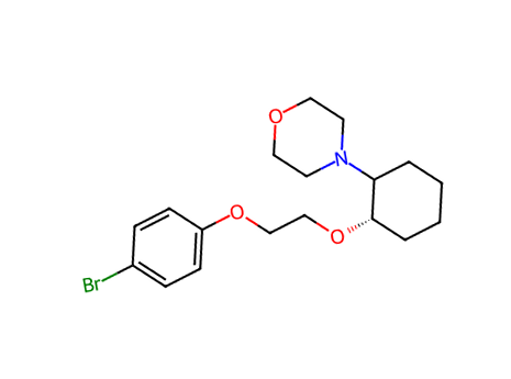 Brc1ccc(OCCO[C@H]2CCCCC2N2CCOCC2)cc1